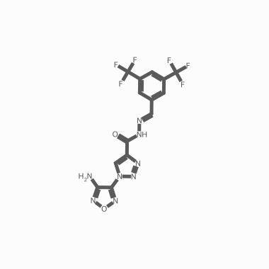 Nc1nonc1-n1cc(C(=O)NN=Cc2cc(C(F)(F)F)cc(C(F)(F)F)c2)nn1